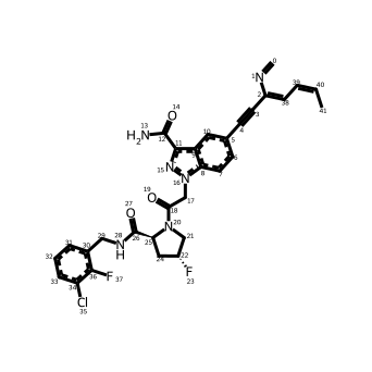 C=N/C(C#Cc1ccc2c(c1)c(C(N)=O)nn2CC(=O)N1C[C@H](F)C[C@H]1C(=O)NCc1cccc(Cl)c1F)=C\C=C/C